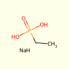 CCP(=O)(O)O.[NaH]